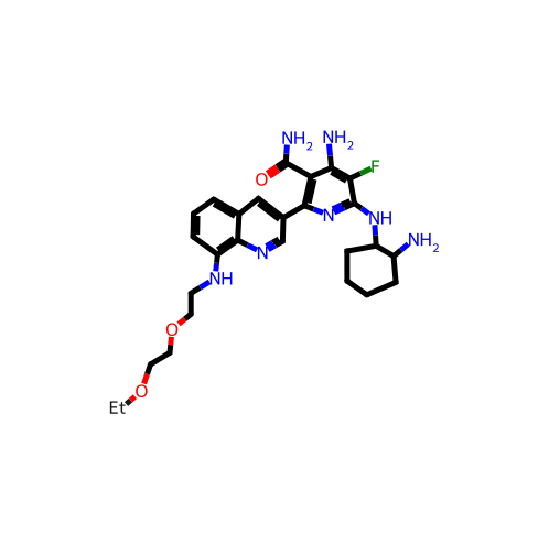 CCOCCOCCNc1cccc2cc(-c3nc(NC4CCCCC4N)c(F)c(N)c3C(N)=O)cnc12